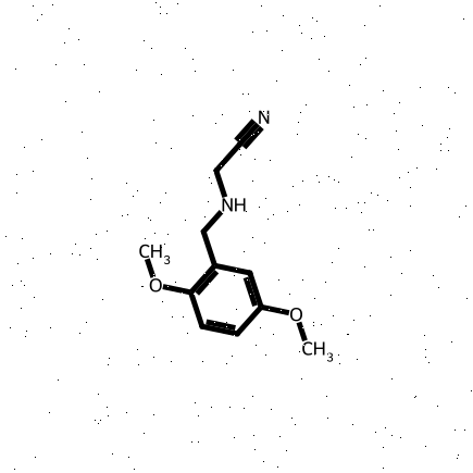 COc1ccc(OC)c(CNCC#N)c1